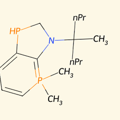 CCCC(C)(CCC)N1CPC2=CC=CP(C)(C)=C21